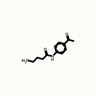 CC(=O)c1ccc(NC(=O)CCCN)cc1